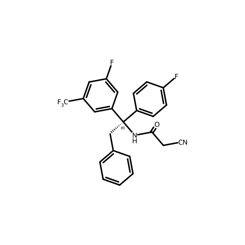 N#CCC(=O)N[C@](Cc1ccccc1)(c1ccc(F)cc1)c1cc(F)cc(C(F)(F)F)c1